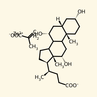 C=C(C)C(=O)[O-].C[C@H](CCC(=O)[O-])[C@H]1CCC2C3C(C[C@H](O)[C@@]21C)[C@@]1(C)CC[C@@H](O)C[C@H]1C[C@H]3O.[Zn+2]